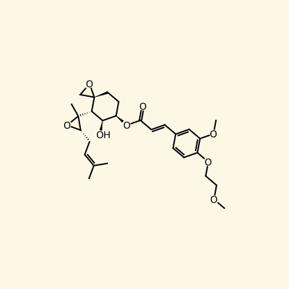 COCCOc1ccc(/C=C/C(=O)O[C@@H]2CC[C@]3(CO3)[C@@H](C3(C)O[C@H]3CC=C(C)C)[C@@H]2O)cc1OC